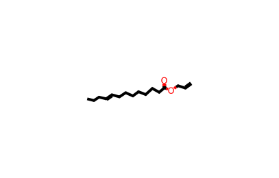 C=CCOC(=O)CCCCCCCC=CCCC